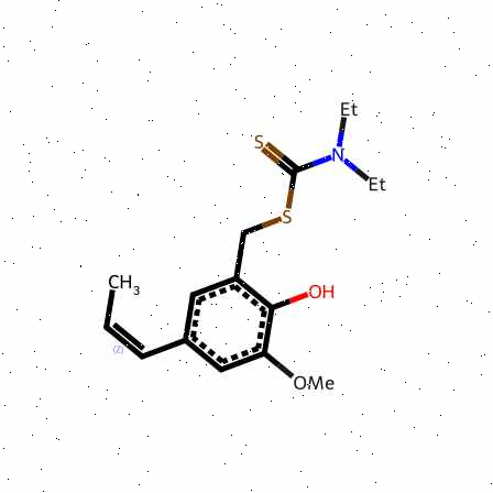 C/C=C\c1cc(CSC(=S)N(CC)CC)c(O)c(OC)c1